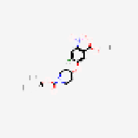 COC(=O)c1cc(OC2CCN(C(=O)OC(C)(C)C)CC2)c(F)cc1[N+](=O)[O-]